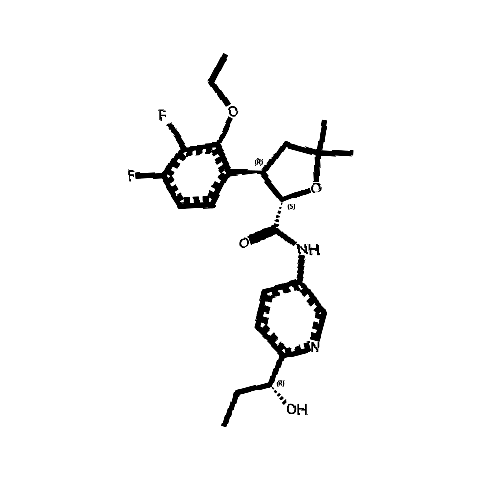 CCOc1c([C@H]2CC(C)(C)O[C@@H]2C(=O)Nc2ccc([C@H](O)CC)nc2)ccc(F)c1F